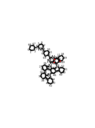 c1ccc(-c2cccc(-c3ccc(-c4nc(-c5ccccc5)nc(-n5c6ccccc6c6c(-n7c8ccccc8c8ccccc87)cc7c8ccccc8n(-c8ccccc8)c7c65)n4)cc3)n2)cc1